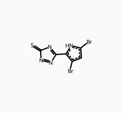 S=C1N=NC(c2[nH]c(Br)cc2Br)=N1